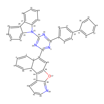 C1=CC2C(c3nc(-c4ccc(-c5ccccc5)cc4)nc(-n4c5ccccc5c5ccccc54)n3)=Cc3oc4ncccc4c3C2C=C1